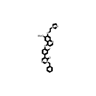 COc1cc2c(Oc3ccc(-c4cncn(Cc5ccccc5)c4=O)cc3F)ccnc2cc1OCCn1ccnc1